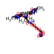 C/C=C1\C[C@H]2C=Nc3cc(OCc4cc(C(C)(C)SCC(=O)NCCOCCOCCOCCOCCC(=O)ON5C(=O)CCC5=O)cc(COc5cc6c(cc5OC)C(=O)N5C/C(=C/C)C[C@H]5C=N6)n4)c(OC)cc3C(=O)N2C1